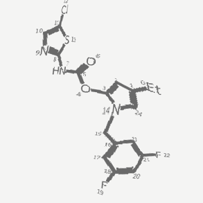 CCc1cc(OC(=O)Nc2ncc(Cl)s2)n(Cc2cc(F)cc(F)c2)c1